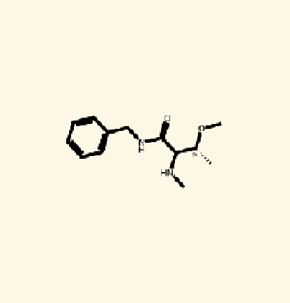 CNC(C(=O)NCc1ccccc1)[C@@H](C)OC